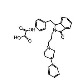 O=C(O)C(=O)O.O=C1c2ccccc2C(Cc2ccccc2)N1CCCN1CC=C(c2ccccc2)CC1